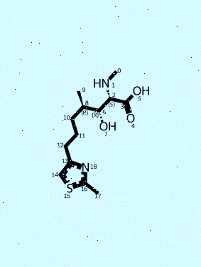 CN[C@H](C(=O)O)[C@H](O)[C@H](C)CCCc1csc(C)n1